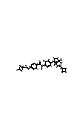 O=C(Nc1ccc(N2CC[C@@H]3CN(C4CCC4)C[C@@H]32)cc1)c1ccc(COC2CCC2)cc1